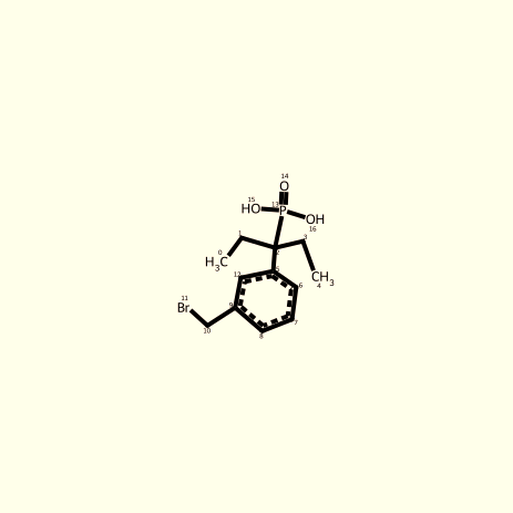 CCC(CC)(c1cccc(CBr)c1)P(=O)(O)O